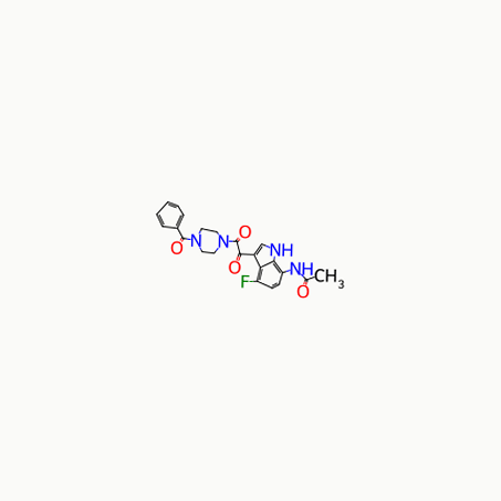 CC(=O)Nc1ccc(F)c2c(C(=O)C(=O)N3CCN(C(=O)c4ccccc4)CC3)c[nH]c12